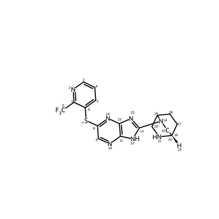 FC(F)(F)c1ncccc1Sc1cnc2[nH]c(N3C[C@@H]4CCC3CN4)nc2n1